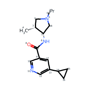 CC(C)N1C[C@@H](C)[C@@H](NC(=O)c2cncc(C3CC3)c2)C1